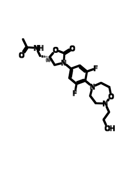 CC(=O)NC[C@H]1CN(c2cc(F)c(N3CCON(CCO)CC3)c(F)c2)C(=O)O1